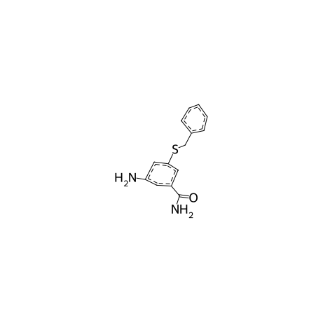 NC(=O)c1cc(N)cc(SCc2ccccc2)c1